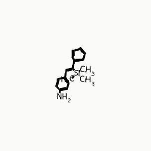 C[Si](C)(C)C(=Cc1ccc(N)cc1)c1ccccc1